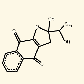 CC(O)C1(O)CC2=C(O1)C(=O)c1ccccc1C2=O